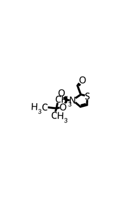 CC(C)(C)OC(=O)N1C=CSC1C=O